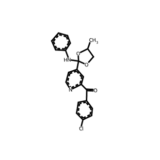 CC1COC(Nc2ccccc2)(c2ccnc(C(=O)c3ccc(Cl)cc3)c2)O1